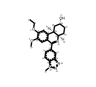 CCOc1cc2c(cc1OC)C(c1ccc3c(c1)nnn3C)=N[C@@H]1CC[C@@H](O)C[C@H]21